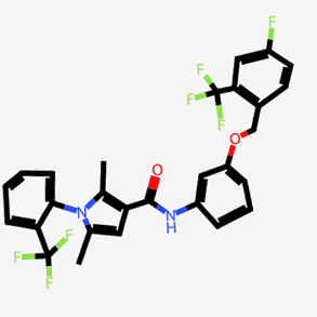 Cc1cc(C(=O)Nc2cccc(OCc3ccc(F)cc3C(F)(F)F)c2)c(C)n1-c1ccccc1C(F)(F)F